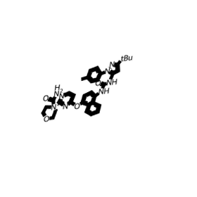 Cc1ccc(-n2nc(C(C)(C)C)cc2NC(=O)Nc2ccc(Oc3ccnc([N+]4(C(N)=O)CCOCC4)n3)c3ccccc23)cc1